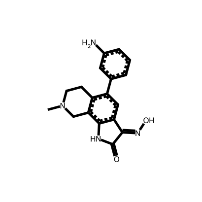 CN1CCc2c(-c3cccc(N)c3)cc3c(c2C1)NC(=O)/C3=N/O